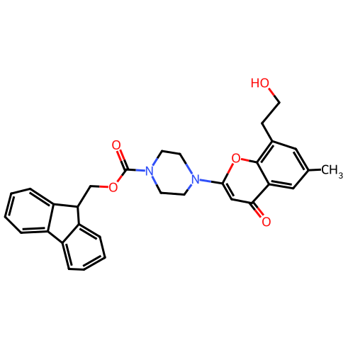 Cc1cc(CCO)c2oc(N3CCN(C(=O)OCC4c5ccccc5-c5ccccc54)CC3)cc(=O)c2c1